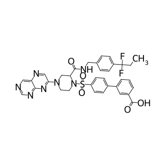 CCC(F)(F)c1ccc(CNC(=O)C2CN(c3cnc4cncnc4n3)CCN2S(=O)(=O)c2ccc(-c3cccc(C(=O)O)c3)cc2)cc1